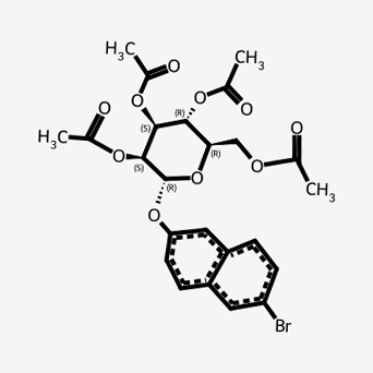 CC(=O)OC[C@H]1O[C@H](Oc2ccc3cc(Br)ccc3c2)[C@@H](OC(C)=O)[C@@H](OC(C)=O)[C@@H]1OC(C)=O